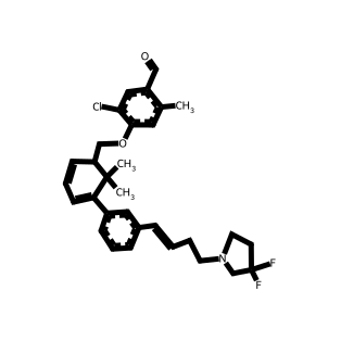 Cc1cc(OCC2C=CC=C(c3cccc(/C=C/CCN4CCC(F)(F)C4)c3)C2(C)C)c(Cl)cc1C=O